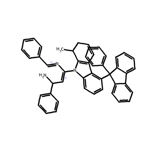 CC1CC=Cc2c1n(C(=C/C(N)c1ccccc1)/N=C/c1ccccc1)c1cccc(C3(c4ccccc4)c4ccccc4-c4ccccc43)c21